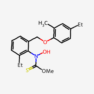 CCc1ccc(OCc2cccc(CC)c2N(O)C(=S)OC)c(C)c1